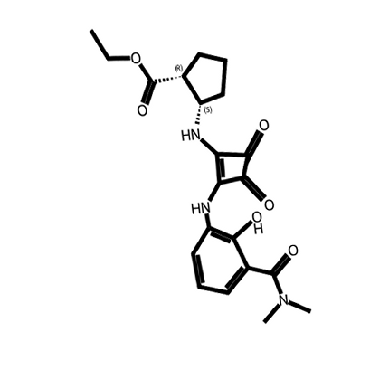 CCOC(=O)[C@@H]1CCC[C@@H]1Nc1c(Nc2cccc(C(=O)N(C)C)c2O)c(=O)c1=O